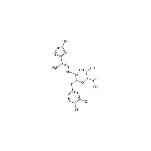 CC(O)C(CO)OC(Sc1ccc(Cl)c(Cl)c1)[C@@H](O)N/C=C(\N)c1nc(Br)cs1